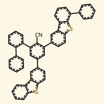 N#Cc1c(-c2ccc3sc4c(-c5ccccc5)cccc4c3c2)cc(-c2ccc3sc4ccccc4c3c2)cc1-c1ccccc1-c1ccccc1